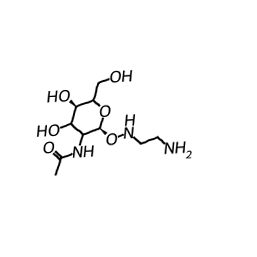 CC(=O)NC1C(O)[C@@H](O)C(CO)O[C@H]1ONCCN